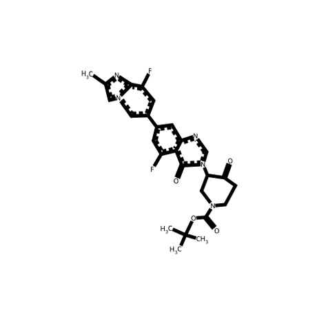 Cc1cn2cc(-c3cc(F)c4c(=O)n(C5CN(C(=O)OC(C)(C)C)CCC5=O)cnc4c3)cc(F)c2n1